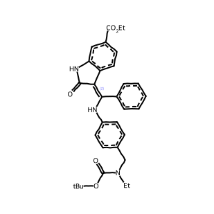 CCOC(=O)c1ccc2c(c1)NC(=O)/C2=C(\Nc1ccc(CN(CC)C(=O)OC(C)(C)C)cc1)c1ccccc1